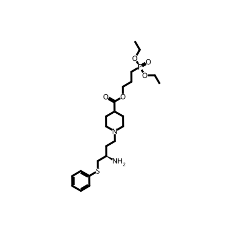 CCOP(=O)(CCCOC(=O)C1CCN(CC[C@@H](N)CSc2ccccc2)CC1)OCC